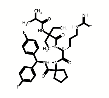 CCC(CC)(NC(=O)C(C)C)C(=O)N[C@H](CCCNC(=N)F)C(=O)NC1(C(=O)NC(c2ccc(F)cc2)c2ccc(F)cc2)CCCC1